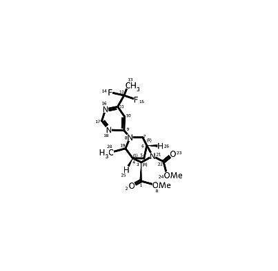 COC(=O)[C@H]1[C@H]2C[C@H](CN(c3cc(C(C)(F)F)ncn3)C2C)N1C(=O)OC